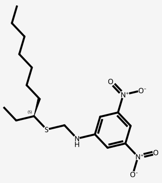 CCCCCCC[C@H](CC)SCNc1cc([N+](=O)[O-])cc([N+](=O)[O-])c1